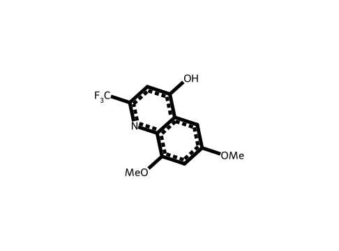 COc1cc(OC)c2nc(C(F)(F)F)cc(O)c2c1